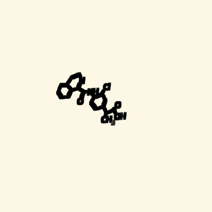 CC(C(=O)O)c1ccc(NC(=O)c2nccc3ccccc23)c(Cl)c1